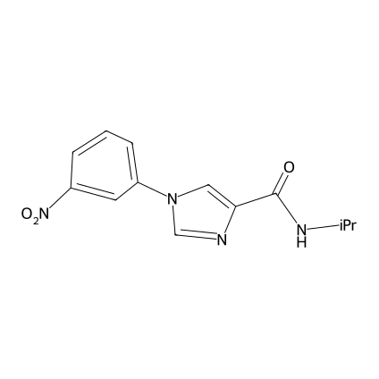 CC(C)NC(=O)c1cn(-c2cccc([N+](=O)[O-])c2)cn1